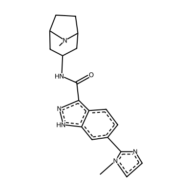 CN1C2CCC1CC(NC(=O)c1n[nH]c3cc(-c4nccn4C)ccc13)C2